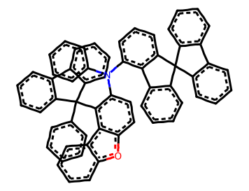 c1ccc(N(c2cccc3c2-c2ccccc2C32c3ccccc3-c3ccccc32)c2ccc3oc4ccccc4c3c2C2(c3ccccc3)c3ccccc3-c3ccccc32)cc1